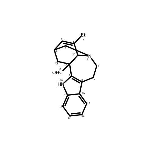 CCC1=CC2CN3CCc4c([nH]c5ccccc45)C(C=O)(C2)C13